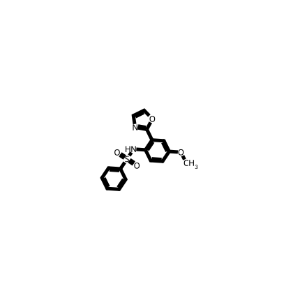 COc1ccc(NS(=O)(=O)c2ccccc2)c(-c2ncco2)c1